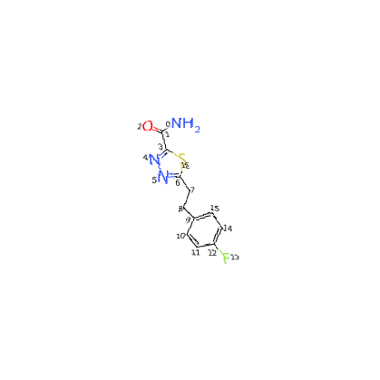 NC(=O)c1nnc(CCc2ccc(F)cc2)s1